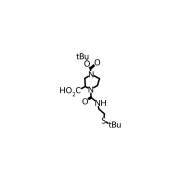 CC(C)(C)OC(=O)N1CCN(C(=O)NCCSC(C)(C)C)C(C(=O)O)C1